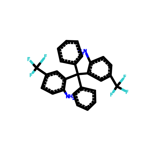 Nc1ccc(C(F)(F)F)cc1C(c1ccccc1)(c1ccccc1)c1cc(C(F)(F)F)ccc1N